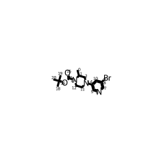 CC1CN(c2cncc(Br)c2)CCN1C(=O)OC(C)(C)C